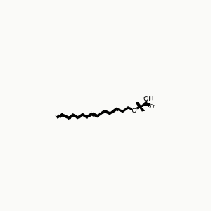 CCCCCCCCCCCCCCOC(C)(C)C(=O)O